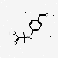 CC(C)(Oc1ccc(C=O)cc1)C(=O)O